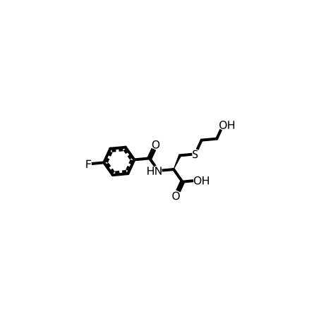 O=C(N[C@@H](CSCCO)C(=O)O)c1ccc(F)cc1